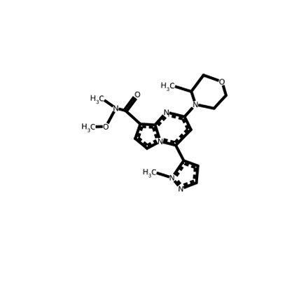 CON(C)C(=O)c1ccn2c(-c3ccnn3C)cc(N3CCOCC3C)nc12